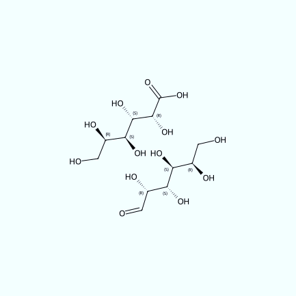 O=C(O)[C@H](O)[C@@H](O)[C@@H](O)[C@H](O)CO.O=C[C@H](O)[C@@H](O)[C@@H](O)[C@H](O)CO